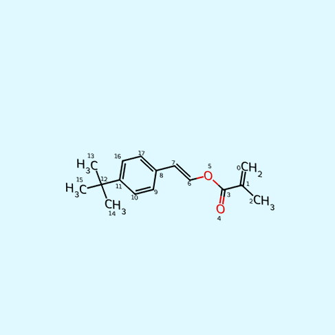 C=C(C)C(=O)OC=Cc1ccc(C(C)(C)C)cc1